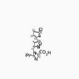 CC(C)c1ncc(C(=O)O)n1Cc1cc(-c2ccc(Cl)s2)on1